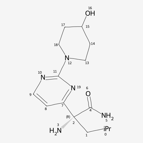 CC(C)C[C@](N)(C(N)=O)c1ccnc(N2CCC(O)CC2)n1